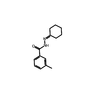 Cc1cccc(C(=O)NN=C2CCCCC2)c1